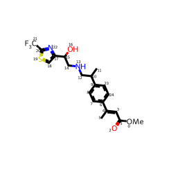 COC(=O)C=C(C)c1ccc(C(C)CNCC(O)c2csc(C(F)(F)F)n2)cc1